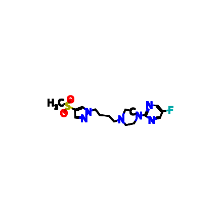 CS(=O)(=O)c1cnn(CCCCN2CCN(c3ncc(F)cn3)CC2)c1